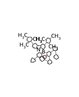 Cc1cc(C)c(-c2ccc3c(c2)c2cc(-c4c(C)cc(C)cc4C)cc4c2n3-c2cc(-c3ccccc3)cc3c2B4c2cc(-c4ccccc4-c4ccccc4)cc(-c4ccccc4-c4ccccc4)c2O3)c(C)c1